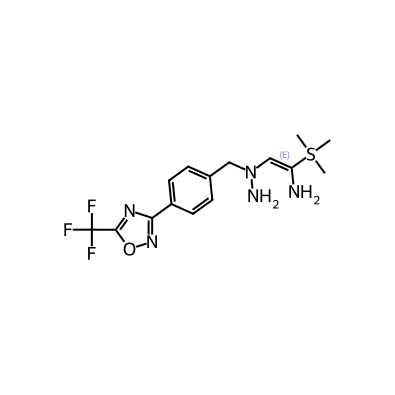 CS(C)(C)/C(N)=C/N(N)Cc1ccc(-c2noc(C(F)(F)F)n2)cc1